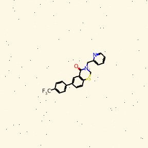 O=C1c2cc(-c3ccc(C(F)(F)F)cc3)ccc2SCN1Cc1ccccn1